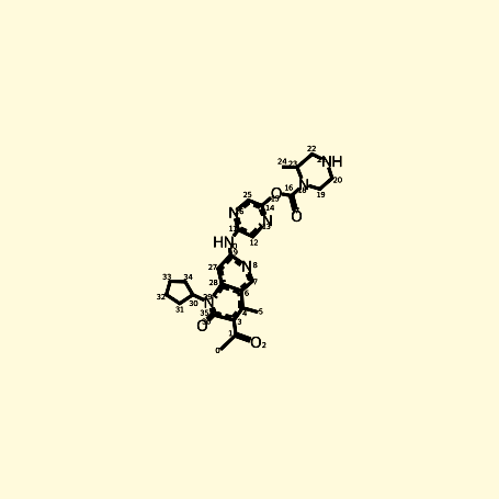 CC(=O)c1c(C)c2cnc(Nc3cnc(OC(=O)N4CCNCC4C)cn3)cc2n(C2CCCC2)c1=O